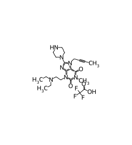 CC#CCn1c(N2CCNCC2)nc2c1c(=O)n(C)c(=O)n2CCN(CC)CC.O=C(O)C(F)(F)F